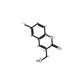 O=c1oc2ccc(I)cc2cc1CO